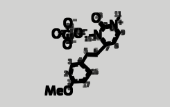 COc1ccc(/C=C/c2cc[n+](C)c(=O)n2C)cc1.[O-][Cl+3]([O-])([O-])[O-]